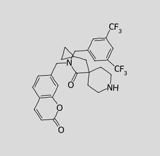 O=C(N(Cc1cc(C(F)(F)F)cc(C(F)(F)F)c1)Cc1ccc2ccc(=O)oc2c1)C1(CC2CC2)CCNCC1